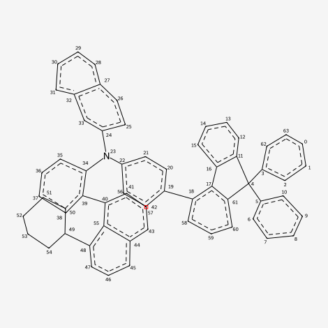 c1ccc(C2(c3ccccc3)c3ccccc3-c3c(-c4ccc(N(c5ccc6ccccc6c5)c5ccccc5-c5cccc6cccc(C7CCCCC7)c56)cc4)cccc32)cc1